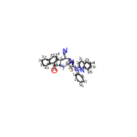 N#CC(C#N)=C1/C(=C\c2ccc(N(c3ccccc3)c3ccc4ccccc4n3)s2)C(=O)c2c1ccc1ccccc21